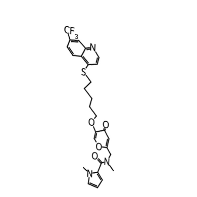 CN(Cc1cc(=O)c(OCCCCCSc2ccnc3cc(C(F)(F)F)ccc23)co1)C(=O)c1cccn1C